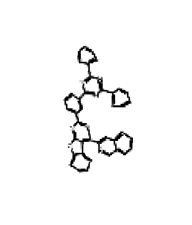 c1ccc(-c2nc(-c3ccccc3)nc(-c3cccc(-c4nc(-c5cc6ccccc6cn5)c5c(n4)oc4ccccc45)c3)n2)cc1